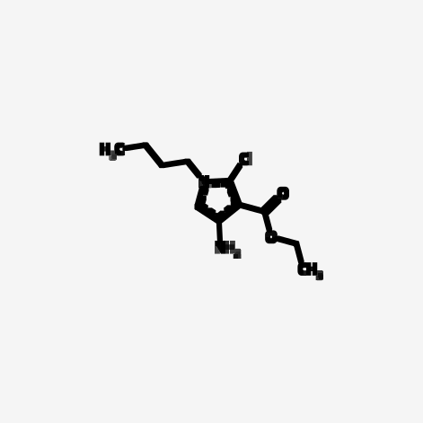 CCCCn1cc(N)c(C(=O)OCC)c1Cl